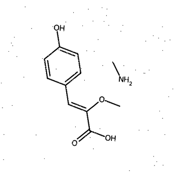 CN.CO/C(=C\c1ccc(O)cc1)C(=O)O